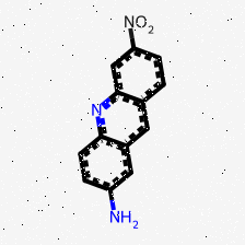 Nc1ccc2nc3cc([N+](=O)[O-])ccc3cc2c1